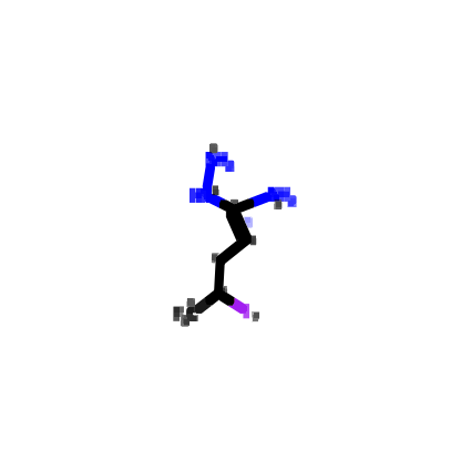 NN/C(N)=C\CC(I)C(F)(F)F